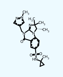 C[C@@H]1N2C(=NC1(C)C)N(Cc1cnn(C)c1)C(=O)c1cc(S(=O)(=O)NC3(C)CC3)ccc12